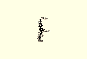 COCCNc1ccc(-c2ccc(CC(=O)Nc3cc(C(C)(C)C)on3)cc2)cn1.CS(=O)(=O)O